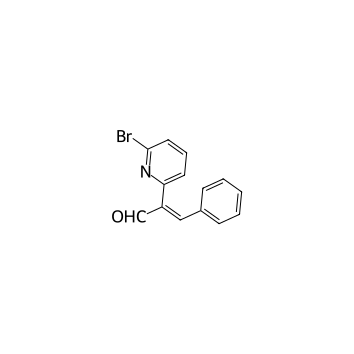 O=CC(=Cc1ccccc1)c1cccc(Br)n1